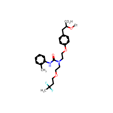 CCOC(Cc1ccc(OCCN(CCOCCC(C)(F)F)C(=O)Nc2ccccc2C)cc1)C(=O)O